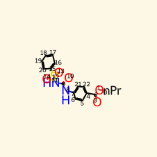 CCCOC(=O)c1ccc(NC(=O)NS(=O)(=O)c2ccccc2)cc1